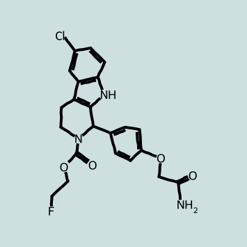 NC(=O)COc1ccc(C2c3[nH]c4ccc(Cl)cc4c3CCN2C(=O)OCCF)cc1